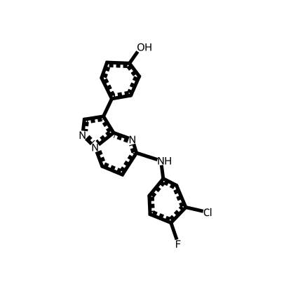 Oc1ccc(-c2cnn3ccc(Nc4ccc(F)c(Cl)c4)nc23)cc1